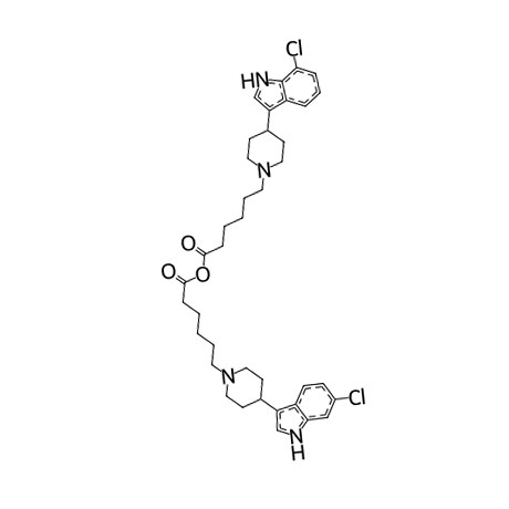 O=C(CCCCCN1CCC(c2c[nH]c3cc(Cl)ccc23)CC1)OC(=O)CCCCCN1CCC(c2c[nH]c3c(Cl)cccc23)CC1